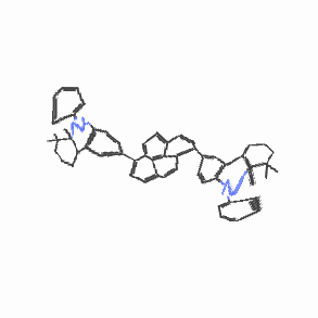 CC1(C)CCCC2c3cc(-c4ccc5ccc6c(-c7ccc8c(c7)C7CCCC(C)(C)C7(C)N8c7ccccc7)ccc7ccc4c5c76)ccc3N(c3ccccc3)C21C